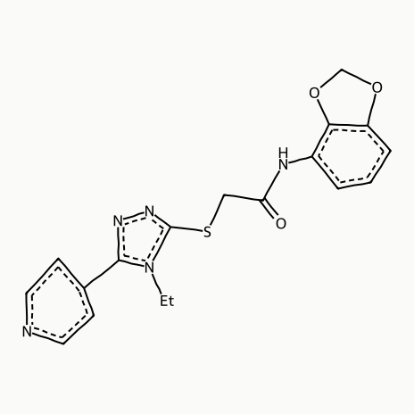 CCn1c(SCC(=O)Nc2cccc3c2OCO3)nnc1-c1ccncc1